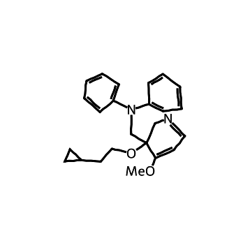 COC1=CC=NCC1(CN(c1ccccc1)c1ccccc1)OCCC1CC1